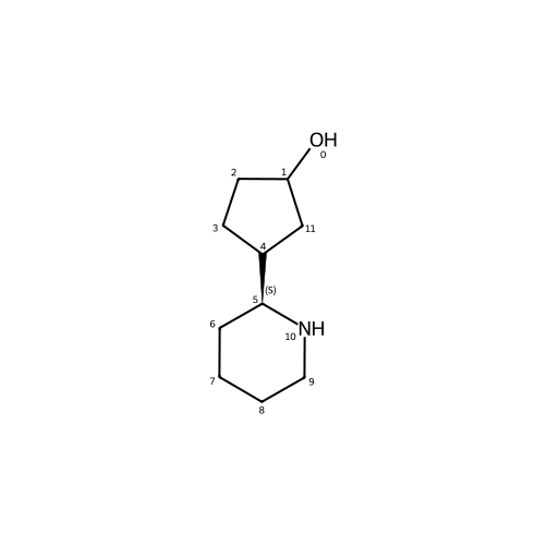 OC1CCC([C@@H]2CCCCN2)C1